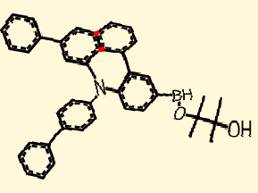 CC(C)(O)C(C)(C)OBc1ccc(N(c2ccc(-c3ccccc3)cc2)c2cccc(-c3ccccc3)c2)c(-c2ccccc2)c1